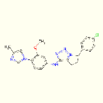 COc1cc(Nc2nnn3c2CCC3c2ccc(Cl)cc2)ccc1-n1cnc(C)c1